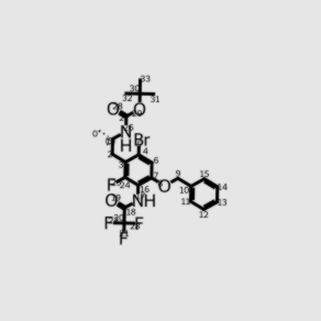 C[C@@H](Cc1c(Br)cc(OCc2ccccc2)c(NC(=O)C(F)(F)F)c1F)NC(=O)OC(C)(C)C